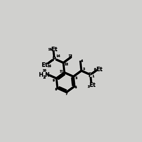 CCP(CC)C(C)c1cccc(N)c1C(C)P(CC)CC